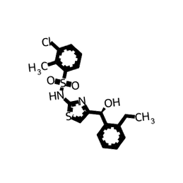 CCc1ccccc1[C@H](O)c1csc(NS(=O)(=O)c2cccc(Cl)c2C)n1